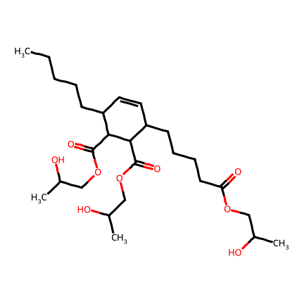 CCCCCC1C=CC(CCCCC(=O)OCC(C)O)C(C(=O)OCC(C)O)C1C(=O)OCC(C)O